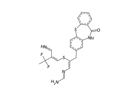 CC(F)(F)/C(C=N)=C/S/C(=C\N=C\N)Cc1ccc2c(c1)NC(=O)c1ccccc1S2